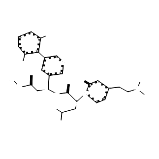 COC(=O)C[C@H](NC(=O)[C@H](CC(C)C)n1ccc(CCN(C)C)cc1=O)c1cncc(-c2c(C)cccc2C)c1